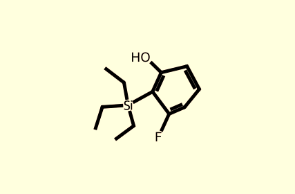 CC[Si](CC)(CC)c1c(O)cccc1F